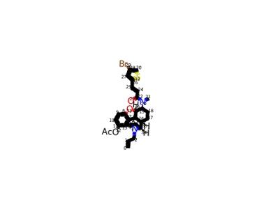 C=CCN1CC[C@@]23c4c5ccc(OC(C)=O)c4C[C@@H]1[C@@H]2CC[C@@H](N(C)C(=O)/C=C/c1cc(Br)cs1)[C@@H]3O5